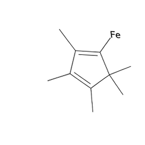 CC1=C(C)C(C)(C)[C]([Fe])=C1C